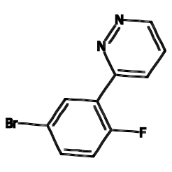 Fc1ccc(Br)cc1-c1cccnn1